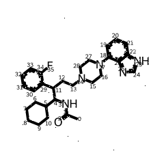 CC(=O)NC(C1CCCCC1)C(CCN1CCN(c2cccc3[nH]cnc23)CC1)c1ccccc1F